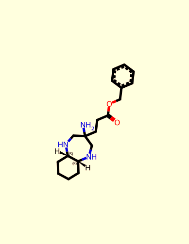 NC1(CCC(=O)OCc2ccccc2)CN[C@H]2CCCC[C@H]2NC1